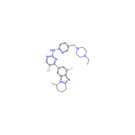 CCN1CCN(Cc2ccc(Nc3ncc(Cl)c(-c4cc(F)c5nc6n(c5c4)C(C)CCC6)n3)nc2)CC1